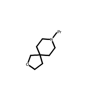 CC(C)N1CCC2(CCOC2)CC1